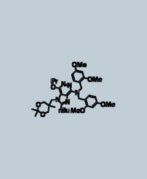 CCCCc1nc2c(N(Cc3ccc(OC)cc3OC)Cc3ccc(OC)cc3OC)nnc(OC(C)C)c2n1CC1(C)COC(C)(C)OC1